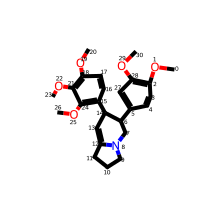 COc1ccc(C2CN3CCCC3=CC2c2ccc(OC)c(OC)c2OC)cc1OC